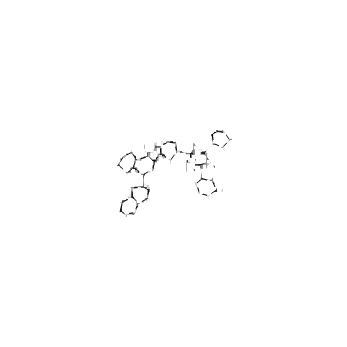 c1ccc(-c2nc(-c3ccccc3)nc(-c3ccc4oc5c6ccccc6c(-c6ccc7ccccc7c6)cc5c4c3)n2)cc1